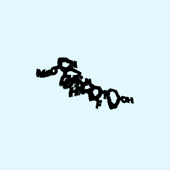 COc1ccnc(C[S+]([O-])c2nc3cc(N4CCC(O)CC4)c(F)cc3[nH]2)c1C